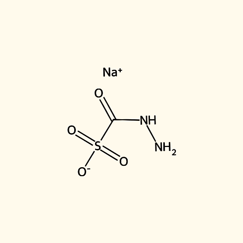 NNC(=O)S(=O)(=O)[O-].[Na+]